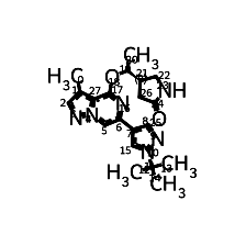 Cc1cnn2cc(-c3cnn(C(C)(C)C)c3)nc(OC(C)[C@H]3CNC(=O)C3)c12